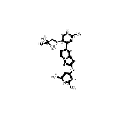 Cc1cc(-c2ccn3nc(Nc4cc(C)nc(C)n4)cc3c2)c(OCC(C)(C)N)cn1